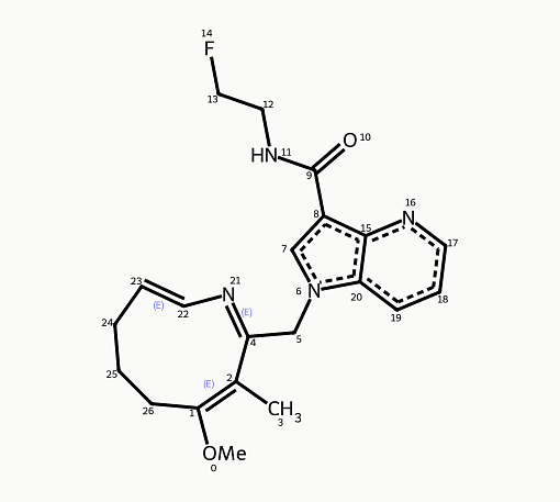 CO/C1=C(C)/C(Cn2cc(C(=O)NCCF)c3ncccc32)=N\C=C\CCC1